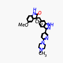 COc1ccc2c(c1)[C@@](C)(Cc1ccc3c(-c4ccc(N5CCN(C)CC5)nc4)n[nH]c3c1)C(=O)N2